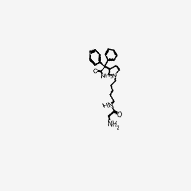 NCC(=O)NCCCCCN1CCC(C(C(N)=O)(c2ccccc2)c2ccccc2)C1